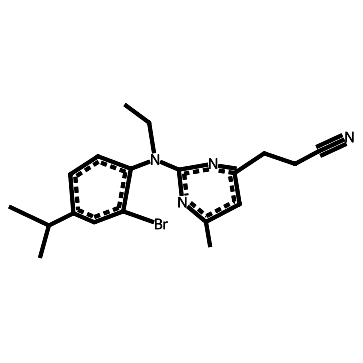 CCN(c1nc(C)cc(CCC#N)n1)c1ccc(C(C)C)cc1Br